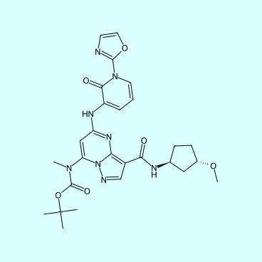 CO[C@H]1CC[C@H](NC(=O)c2cnn3c(N(C)C(=O)OC(C)(C)C)cc(Nc4cccn(-c5ncco5)c4=O)nc23)C1